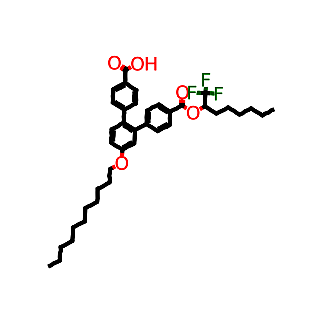 CCCCCCCCCCCOc1ccc(-c2ccc(C(=O)O)cc2)c(-c2ccc(C(=O)OC(CCCCCC)C(F)(F)F)cc2)c1